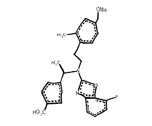 COc1ccc(CCN(c2nc3cccc(F)c3s2)C(C)c2ccc(C(=O)O)cc2)c(C)c1